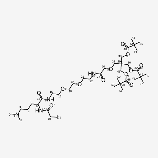 CN(C)CCCC(NC(=O)CI)C(=O)NCCOCCOCCNC(=O)COCC(COC(=O)C(C)(C)C)(COC(=O)C(C)(C)C)COC(=O)C(C)(C)C